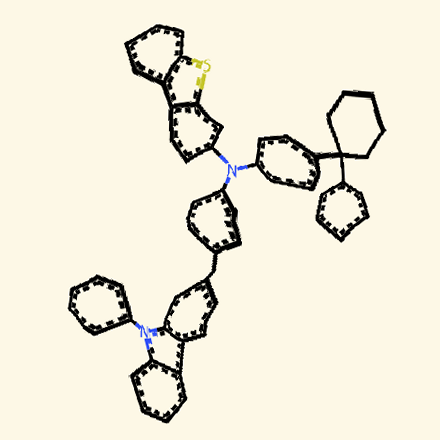 c1ccc(-n2c3ccccc3c3ccc(-c4ccc(N(c5ccc(C6(c7ccccc7)CCCCC6)cc5)c5ccc6c(c5)sc5ccccc56)cc4)cc32)cc1